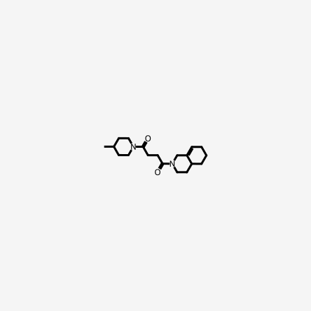 CC1CCN(C(=O)CCC(=O)N2CCC3CCCC=C3C2)CC1